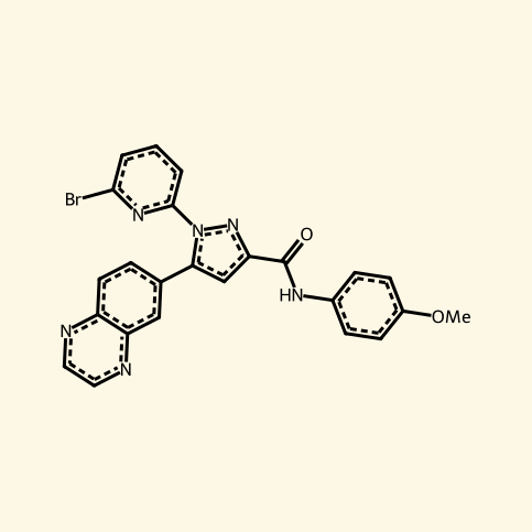 COc1ccc(NC(=O)c2cc(-c3ccc4nccnc4c3)n(-c3cccc(Br)n3)n2)cc1